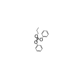 CCCOP(Oc1ccccc1)Oc1ccccc1